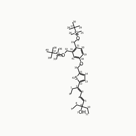 CCC(=CC=CC(O)(CC)CC)c1ccc(COc2ccc(CO[Si](C)(C)C(C)(C)C)c(CO[Si](C)(C)C(C)(C)C)c2)s1